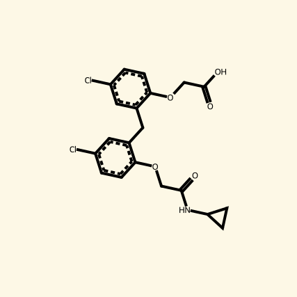 O=C(O)COc1ccc(Cl)cc1Cc1cc(Cl)ccc1OCC(=O)NC1CC1